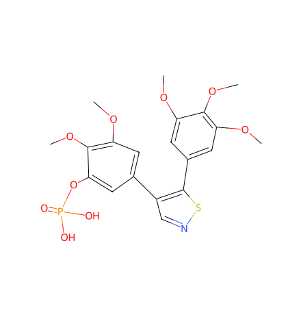 COc1cc(-c2sncc2-c2cc(OC)c(OC)c(OP(=O)(O)O)c2)cc(OC)c1OC